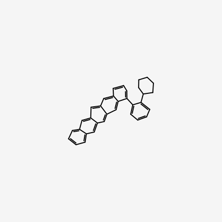 c1ccc(C2CCCCC2)c(-c2cccc3cc4cc5cc6ccccc6cc5cc4cc23)c1